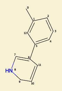 Cc1cccc(C2=CNCC=C2)c1